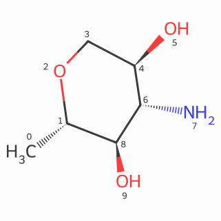 C[C@@H]1OC[C@@H](O)[C@H](N)[C@H]1O